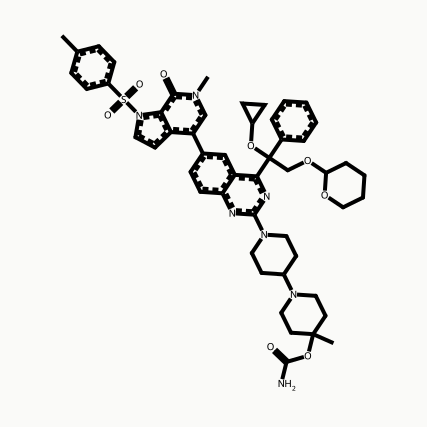 Cc1ccc(S(=O)(=O)n2ccc3c(-c4ccc5nc(N6CCC(N7CCC(C)(OC(N)=O)CC7)CC6)nc(C(COC6CCCCO6)(OC6CC6)c6ccccc6)c5c4)cn(C)c(=O)c32)cc1